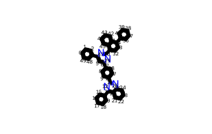 c1ccc(-c2cc(-c3ccc(-c4nc(-c5ccccc5)c5ccccc5n4)cc3)nc(-c3ccc(-c4ccccc4)c4ccccc34)n2)cc1